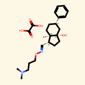 CN(C)CCCON=C[C@H]1CC[C@]2(O)C[C@@H](c3ccccc3)CC[C@]12C.O=C(O)C(=O)O